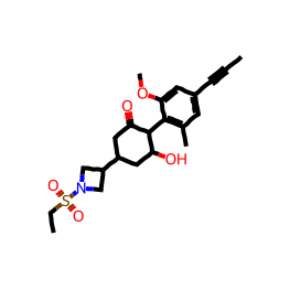 CC#Cc1cc(C)c(C2C(=O)CC(C3CN(S(=O)(=O)CC)C3)CC2O)c(OC)c1